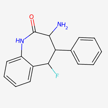 NC1C(=O)Nc2ccccc2C(F)C1c1ccccc1